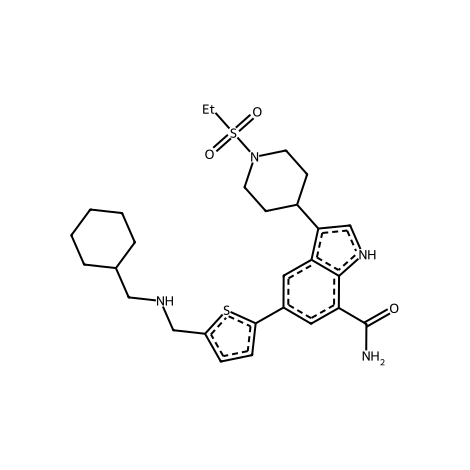 CCS(=O)(=O)N1CCC(c2c[nH]c3c(C(N)=O)cc(-c4ccc(CNCC5CCCCC5)s4)cc23)CC1